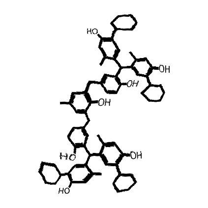 Cc1cc(Cc2ccc(O)c(C(c3cc(C4CCCCC4)c(O)cc3C)c3cc(C4CCCCC4)c(O)cc3C)c2)c(O)c(Cc2ccc(O)c(C(c3cc(C4CCCCC4)c(O)cc3C)c3cc(C4CCCCC4)c(O)cc3C)c2)c1